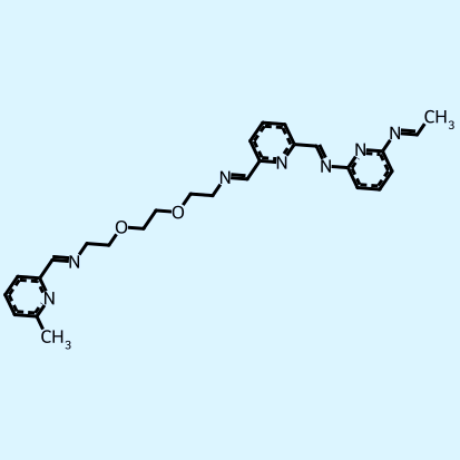 CC=Nc1cccc(N=Cc2cccc(C=NCCOCCOCCN=Cc3cccc(C)n3)n2)n1